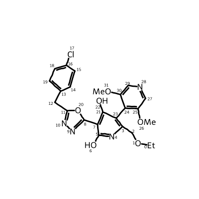 CCOCc1nc(O)c(-c2nnc(Cc3ccc(Cl)cc3)o2)c(O)c1-c1c(OC)cncc1OC